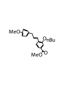 CCCCOc1cc(C(=O)OC)ccc1C=CCc1ccc(OC)cc1